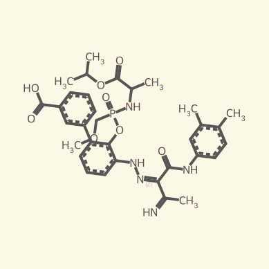 COCP(=O)(NC(C)C(=O)OC(C)C)Oc1c(N/N=C(/C(C)=N)C(=O)Nc2ccc(C)c(C)c2)cccc1-c1cccc(C(=O)O)c1